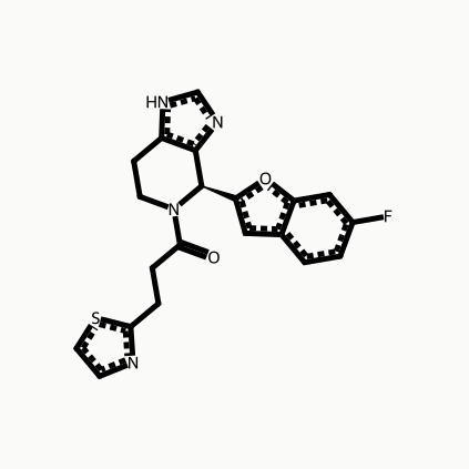 O=C(CCc1nccs1)N1CCc2[nH]cnc2[C@H]1c1cc2ccc(F)cc2o1